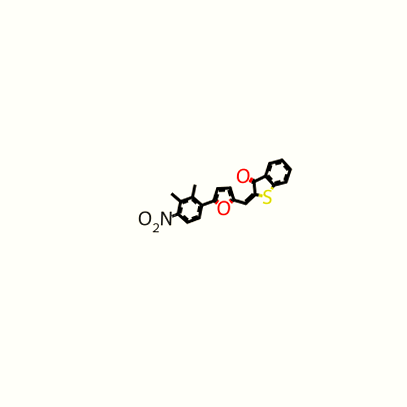 Cc1c(-c2ccc(C=C3Sc4ccccc4C3=O)o2)ccc([N+](=O)[O-])c1C